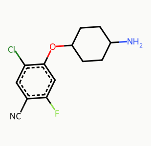 N#Cc1cc(Cl)c(OC2CCC(N)CC2)cc1F